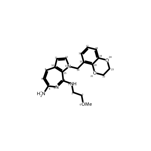 COCCNC1=NC(N)=C=Cc2ccn(Cc3cccc4c3OCCO4)c21